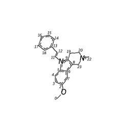 COc1ccc2c(c1)c1c(n2C=Cc2ccccc2)CCN(C)C1